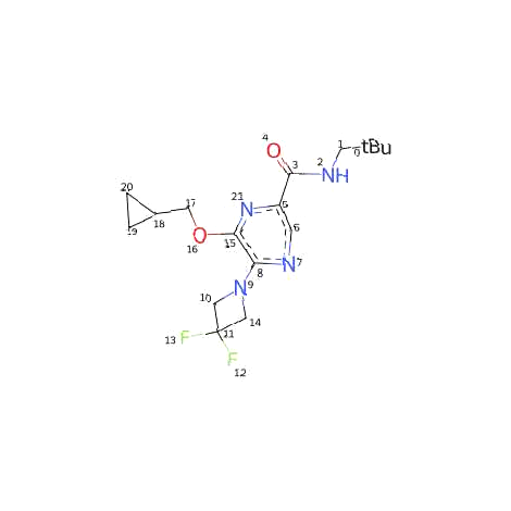 CC(C)(C)CNC(=O)c1cnc(N2CC(F)(F)C2)c(OCC2CC2)n1